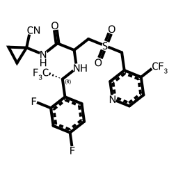 N#CC1(NC(=O)C(CS(=O)(=O)Cc2cnccc2C(F)(F)F)N[C@H](c2ccc(F)cc2F)C(F)(F)F)CC1